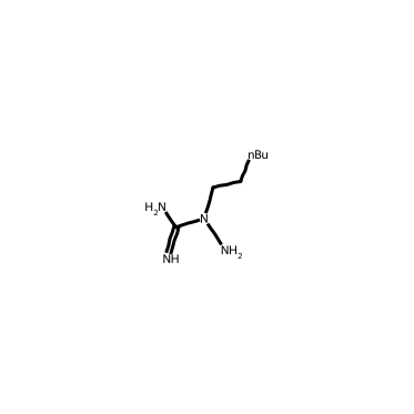 [CH2]CCCCCN(N)C(=N)N